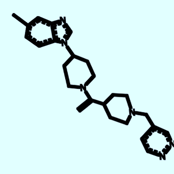 C=C(C1CCN(Cc2ccnnc2)CC1)N1CCC(n2cnc3cc(C)ccc32)CC1